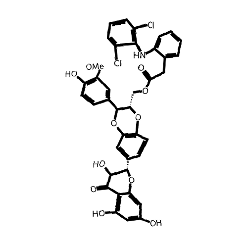 COc1cc(C2Oc3cc([C@@H]4Oc5cc(O)cc(O)c5C(=O)C4O)ccc3O[C@H]2COC(=O)Cc2ccccc2Nc2c(Cl)cccc2Cl)ccc1O